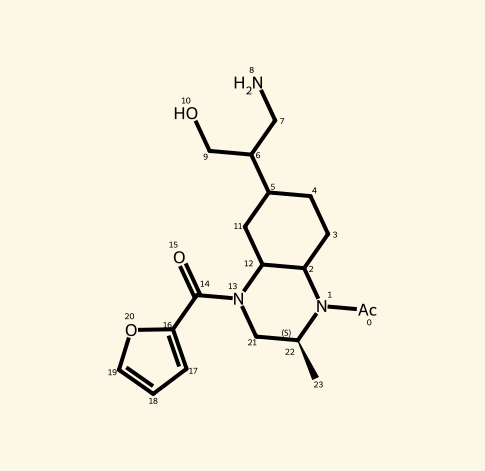 CC(=O)N1C2CCC(C(CN)CO)CC2N(C(=O)c2ccco2)C[C@@H]1C